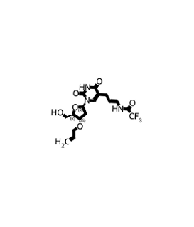 C=CCO[C@H]1C[C@H](n2cc(CC=CNC(=O)C(F)(F)F)c(=O)[nH]c2=O)O[C@@H]1CO